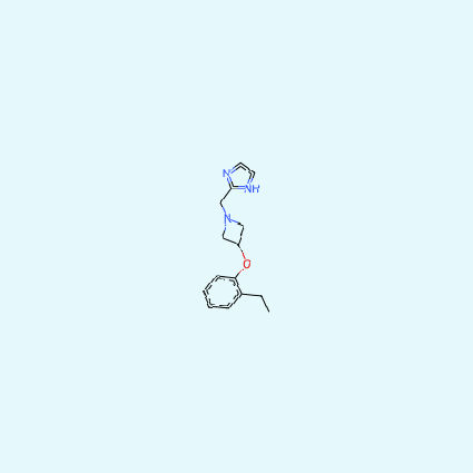 CCc1ccccc1OC1CN(Cc2ncc[nH]2)C1